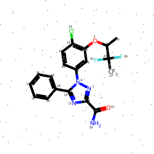 CC(Oc1cc(-n2nc(C(N)=O)nc2-c2ccccc2)ccc1Cl)C(F)(F)C(F)(F)F